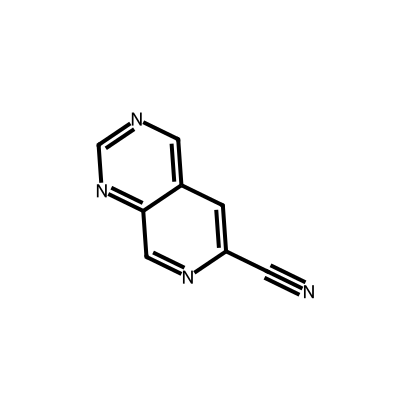 N#Cc1cc2cncnc2cn1